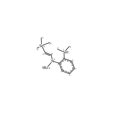 C[SiH](C)c1ccccc1N(C=C[Si](C)(C)C)C(C)(C)C